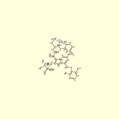 Cc1cc(OCc2c(F)cccc2F)c2nc(C)c(C(=O)NCC(CC(F)(F)F)N(Cc3ccccc3)C(=O)O)n2c1.O=C(O)C(F)(F)F